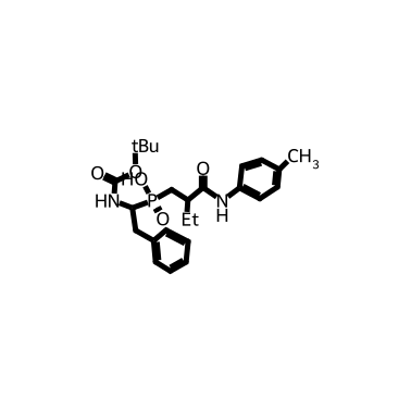 CCC(CP(=O)(O)C(Cc1ccccc1)NC(=O)OC(C)(C)C)C(=O)Nc1ccc(C)cc1